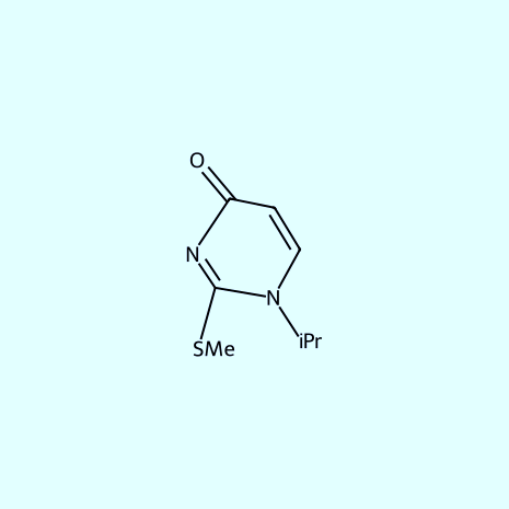 CSc1nc(=O)ccn1C(C)C